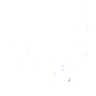 O=C(N[C@@H](Cc1ccc(-c2ccc(C(F)(F)F)cc2)cc1)C(=O)O)c1ccc(-c2ncccc2C(F)(F)F)cc1